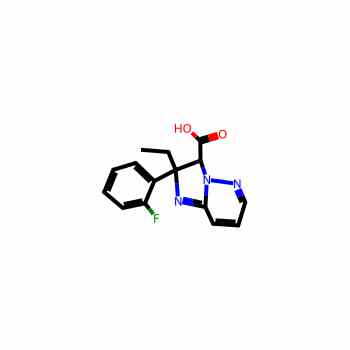 CCC1(c2ccccc2F)N=C2C=CC=NN2C1C(=O)O